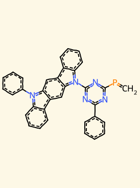 C=Pc1nc(-c2ccccc2)nc(-n2c3ccccc3c3cc4c(cc32)c2ccccc2n4-c2ccccc2)n1